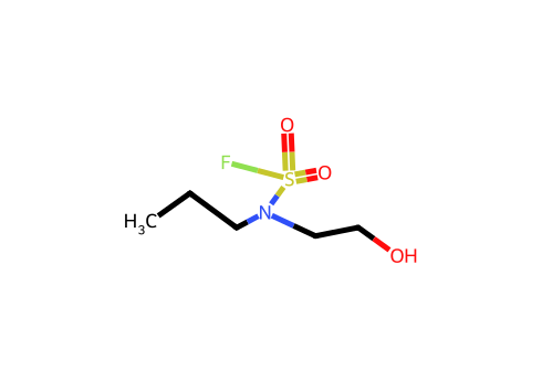 CCCN(CCO)S(=O)(=O)F